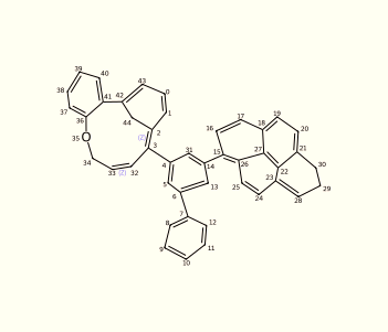 C1=C/C2=C(c3cc(-c4ccccc4)cc(-c4ccc5ccc6c7c(ccc4c57)=CCC6)c3)/C=C\COc3ccccc3C(=C1)C2